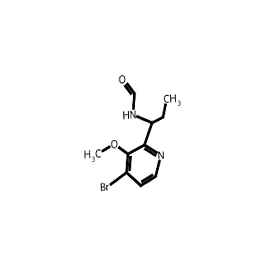 CCC(NC=O)c1nccc(Br)c1OC